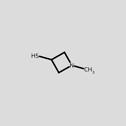 CN1CC(S)C1